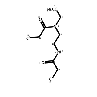 O=C(O)CN(CCNC(=O)CCl)C(=O)CCl